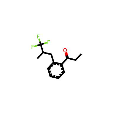 CCC(=O)c1ccccc1CC(C)C(F)(F)F